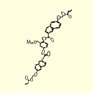 C=CC(=O)OCOc1ccc2cc(C(=O)Oc3ccc(OC(=O)c4ccc5cc(OCOC(=O)C=C)ccc5c4)c(COC)c3)ccc2c1